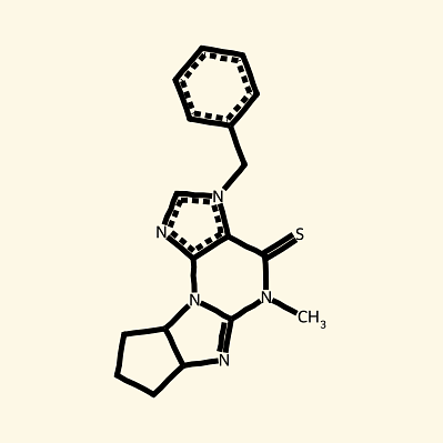 CN1C(=S)c2c(ncn2Cc2ccccc2)N2C1=NC1CCCC12